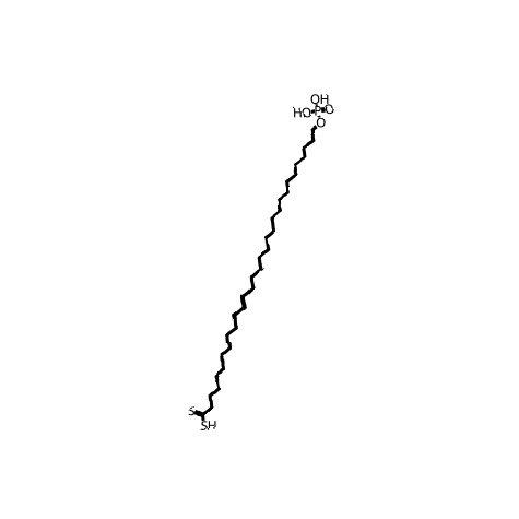 O=P(O)(O)OCCCCCCCCCCCCCCCCCCCCCCCCCCCCCCC(=S)S